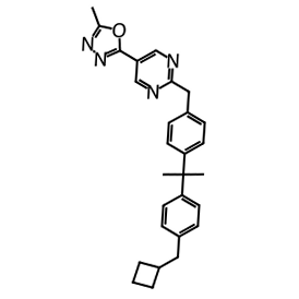 Cc1nnc(-c2cnc(Cc3ccc(C(C)(C)c4ccc(CC5CCC5)cc4)cc3)nc2)o1